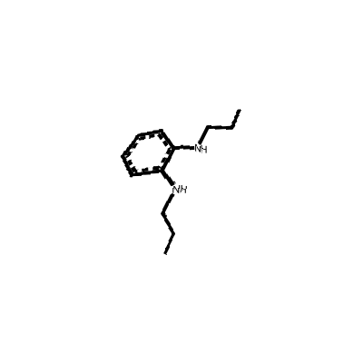 CCCNc1ccccc1NCCC